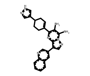 Bc1c(C2=CCC(c3cn[nH]c3)CC2)nc2c(-c3cnc4ccccc4c3)cnn2c1N